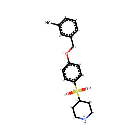 N#Cc1cccc(COc2ccc(S(=O)(=O)C3CCNCC3)cc2)c1